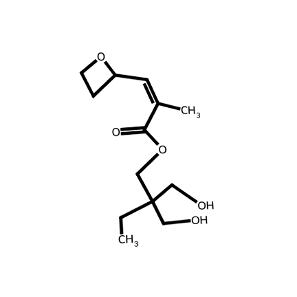 CCC(CO)(CO)COC(=O)C(C)=CC1CCO1